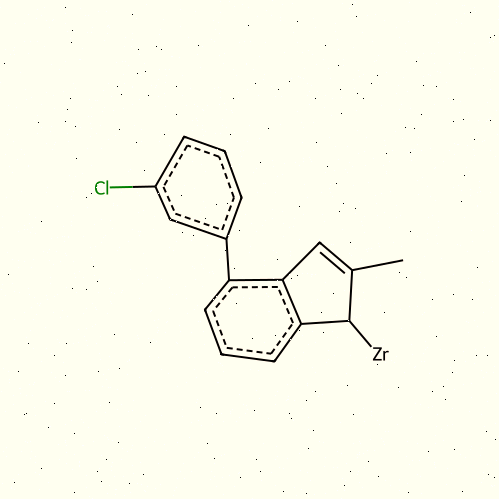 CC1=Cc2c(-c3cccc(Cl)c3)cccc2[CH]1[Zr]